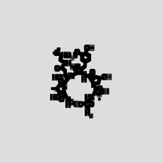 C[C@@H](O)C1NC(=O)[C@@H](N)CCCNC(=O)[C@@H]2[C@@H](O)[C@@H](C)CN2C(=O)[C@H]([C@H](O)CC(=O)NCCN(C)C)NC(=O)[C@H]([C@H](O)Cc2ccc(O)c(OS(=O)(=O)O)c2)NC(=O)[C@@H]2C[C@@H](O)CN2C1=O